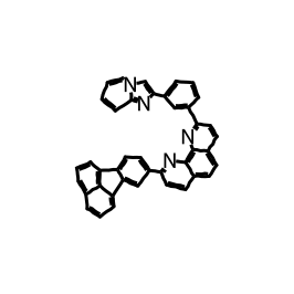 c1cc(-c2ccc3ccc4ccc(-c5ccc6c(c5)-c5cccc7cccc-6c57)nc4c3n2)cc(-c2cn3ccccc3n2)c1